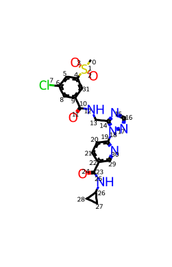 CS(=O)(=O)c1cc(Cl)cc(C(=O)NCc2ncnn2-c2ccc(C(=O)NC3CC3)cn2)c1